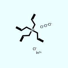 C=CC[N+](CC=C)(CC=C)CC=C.[Cl-].[Cl-].[Cl-].[Cl-].[In+3]